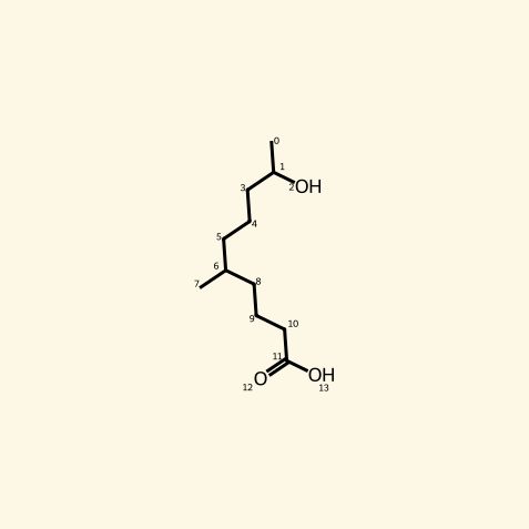 CC(O)CCCC(C)CCCC(=O)O